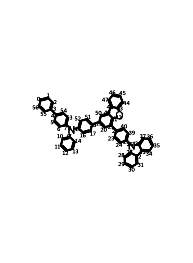 c1ccc(-c2ccc(N(c3ccccc3)c3ccc(-c4cc(-c5ccc(-n6c7ccccc7c7ccccc76)cc5)c5oc6ccccc6c5c4)cc3)cc2)cc1